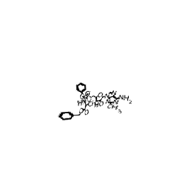 Cc1nc(N)c2ncn(C3O[C@H](COP(=O)(N[C@@H](C)C(=O)OCc4ccccc4)Oc4ccccc4)C[C@@H]3O)c2n1